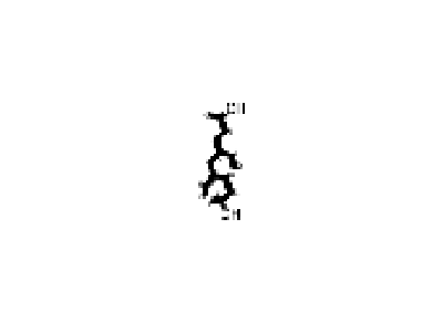 C=C/C(=C\C=C(/C)O)CC(/C=C\C(=C)O)=C/C